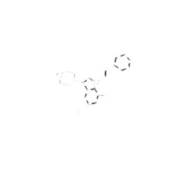 Cc1cc(O)cc2c(C3CCN(C)CC3)cn(C=Cc3ccccc3)c12